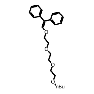 CCCCOCCOCCOCCOC=C(c1ccccc1)c1ccccc1